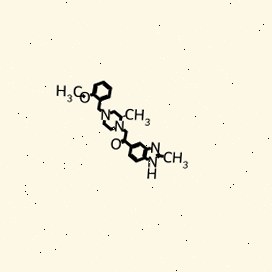 COc1ccccc1CN1CCN(CC(=O)c2ccc3[nH]c(C)nc3c2)[C@@H](C)C1